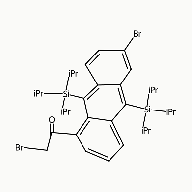 CC(C)[Si](c1c2cc(Br)ccc2c([Si](C(C)C)(C(C)C)C(C)C)c2c(C(=O)CBr)cccc12)(C(C)C)C(C)C